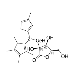 CC1=CC[C]([Zr]([GeH2][C@@]2(O)C(=O)O[C@H](CO)[C@@H]2O)[C]2=C(C)C(C)=C(C)C2C)=C1